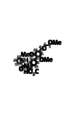 COCCOCc1cc(OC)c(-c2ccc(C[C@H](NC(=O)[C@@H]3CCCN3)C(=O)O)cc2)c(OC)c1